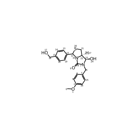 COc1ccc(CN2C(=O)N3C(c4ccc(CO)cc4)SC[C@H]3[C@H]2O)cc1